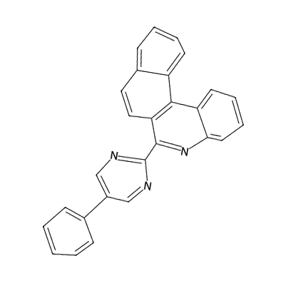 c1ccc(-c2cnc(-c3nc4ccccc4c4c3ccc3ccccc34)nc2)cc1